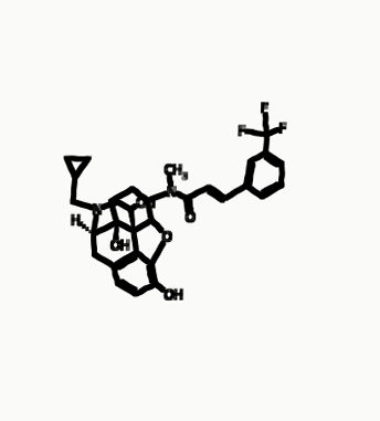 CN(C(=O)/C=C/c1cccc(C(F)(F)F)c1)C1CC[C@@]2(O)[C@H]3Cc4ccc(O)c5c4[C@@]2(C(O)CN3CC2CC2)C1O5